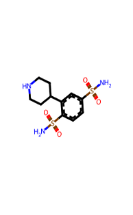 NS(=O)(=O)c1ccc(S(N)(=O)=O)c(C2CCNCC2)c1